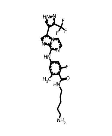 Cc1cc(Nc2nccn3c(-c4c[nH]nc4C(F)(F)F)cnc23)cc(F)c1C(=O)NCCCCCN